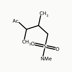 CNS(=O)(=O)CC(C)C(C)C(C)=O